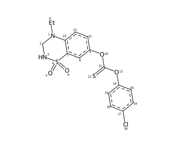 CCN1CNS(=O)(=O)c2cc(OC(=S)Oc3ccc(Cl)cc3)ccc21